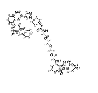 O=C(CN1CCC(n2cc(-c3cnc4cccc(-c5cc(F)c(CN6CCOCC6)c(F)c5)c4n3)cn2)CC1)NCCOCCOCCOCCNc1cccc2c1C(=O)N(C1CCC(=O)NC1=O)C2=O